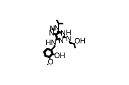 COc1cccc(CNc2nc(NCC(C)O)nc3c2nnn3C(C)C)c1O